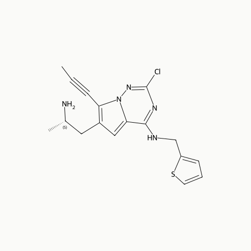 CC#Cc1c(C[C@H](C)N)cc2c(NCc3cccs3)nc(Cl)nn12